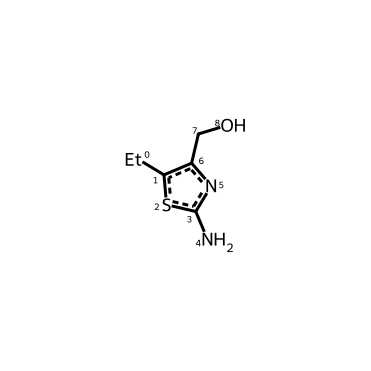 [CH2]Cc1sc(N)nc1CO